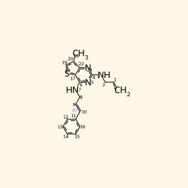 C=CCNc1nc(NC/C=C/c2ccccc2)c2scc(C)c2n1